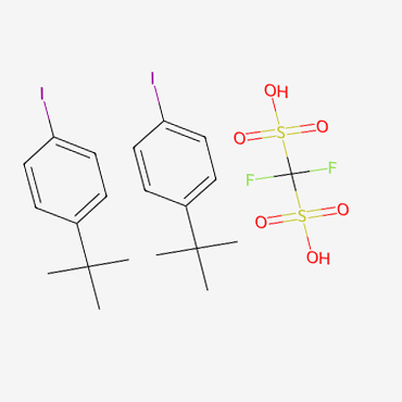 CC(C)(C)c1ccc(I)cc1.CC(C)(C)c1ccc(I)cc1.O=S(=O)(O)C(F)(F)S(=O)(=O)O